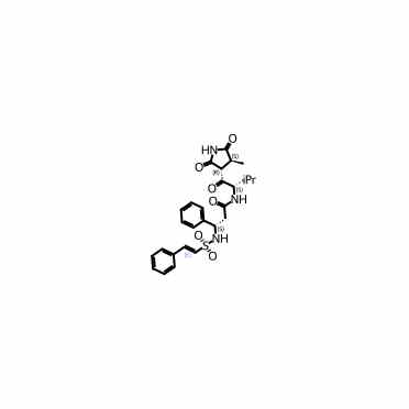 CC(C)[C@H](NC(=O)C[C@H](NS(=O)(=O)/C=C/c1ccccc1)c1ccccc1)C(=O)[C@@H]1C(=O)NC(=O)[C@H]1C